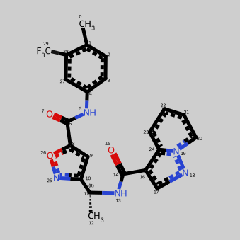 Cc1ccc(NC(=O)c2cc([C@@H](C)NC(=O)c3cnn4ccccc34)no2)cc1C(F)(F)F